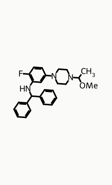 COC(C)N1CCN(c2ccc(F)c(NC(c3ccccc3)c3ccccc3)c2)CC1